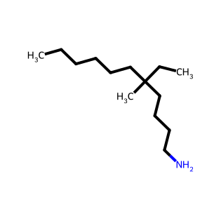 CCCCCCC(C)(CC)CCCCN